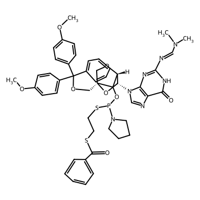 COc1ccc(C(OC[C@]23CO[C@@H](C2OP(SCCSC(=O)c2ccccc2)N2CCCC2)[C@H](n2cnc4c(=O)[nH]c(/N=C/N(C)C)nc42)O3)(c2ccccc2)c2ccc(OC)cc2)cc1